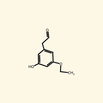 CCOc1cc(O)cc(CC=O)c1